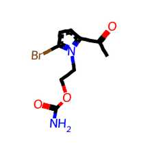 CC(=O)c1ccc(Br)n1CCOC(N)=O